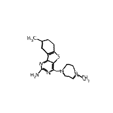 CC1CCc2sc3c(N4CCN(C)CC4)nc(N)nc3c2C1